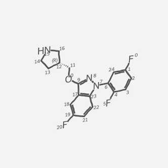 Fc1ccc(F)c(-n2nc(OC[C@@H]3CCNC3)c3cc(F)ccc32)c1